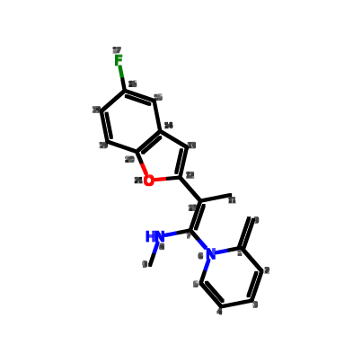 C=C1C=CC=CN1/C(NC)=C(\C)c1cc2cc(F)ccc2o1